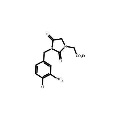 CCOC(=O)CN1CC(=O)N(Cc2ccc(Cl)c([N+](=O)[O-])c2)C1=O